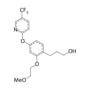 COCCOc1cc(Oc2ccc(C(F)(F)F)cn2)ccc1CCCO